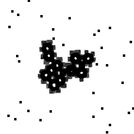 c1ccc(-n2c3ccccc3c3cccc(-c4cccc(N(c5ccc(-c6ccc7ccccc7c6)cc5)c5ccccc5-c5cccc6cccc(C7CCCCC7)c56)c4)c32)cc1